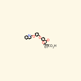 CCC(CC(=O)O)C1(C)CC(=O)c2ccc(OCc3cccc(OCc4ccc5ccccc5n4)c3)cc2O1